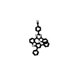 N#Cc1ccc(C2=NC3c4ccccc4OC3C(c3cccc4oc5c(-c6ccccc6)cc(-c6ccccc6)cc5c34)=N2)cc1